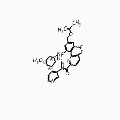 CC(C)OCc1cc(F)c(-c2nc(C(=O)Nc3cnccc3[C@@H]3C[C@H](C)C[C@@H](N)C3)ccc2F)c(F)c1